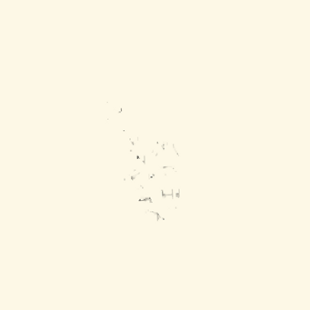 C[Si](C)(C)CCOCN1C(=O)[C@@]2(C[C@@H]3CN=C[C@@H]3C2)c2cccnc21